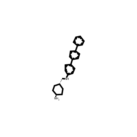 N[C@H]1CC[C@H](CNc2ccc(-c3ccc(-c4ccccc4)cc3)cc2)CC1